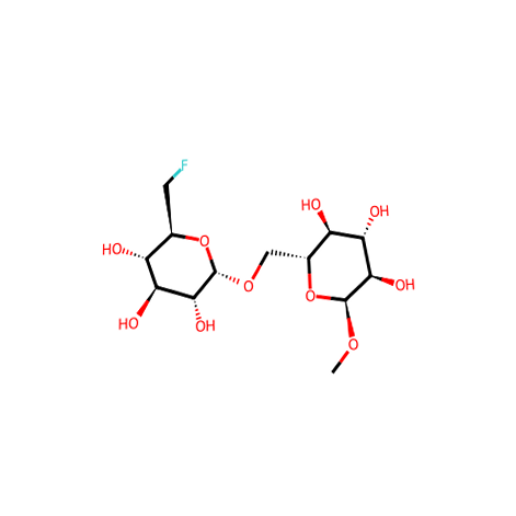 CO[C@H]1O[C@H](CO[C@H]2O[C@H](CF)[C@@H](O)[C@H](O)[C@H]2O)[C@@H](O)[C@H](O)[C@H]1O